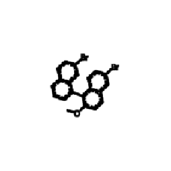 COc1ccc2cc(Br)ccc2c1-c1cccc2ccc(Br)cc12